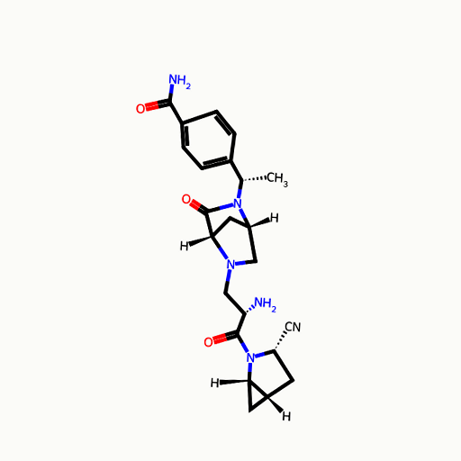 C[C@@H](c1ccc(C(N)=O)cc1)N1C(=O)[C@@H]2C[C@H]1CN2C[C@H](N)C(=O)N1[C@H](C#N)C[C@@H]2C[C@@H]21